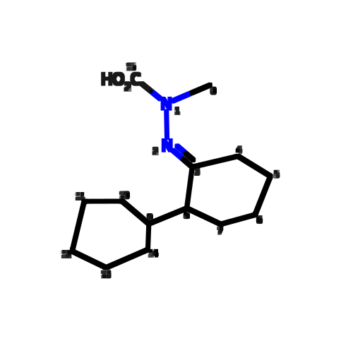 CN(N=C1CCCCC1C1CCCCC1)C(=O)O